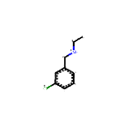 CCNCc1cccc(Cl)c1